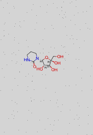 O=C1NCCCN1[C@@H]1O[C@](O)(CO)[C@@H](O)[C@H]1O